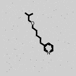 CC(C)COCCCCCc1cccnc1